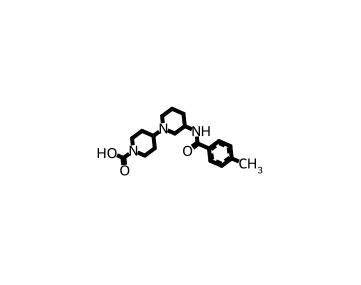 Cc1ccc(C(=O)NC2CCCN(C3CCN(C(=O)O)CC3)C2)cc1